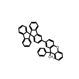 CC1(c2ccccc2)c2ccccc2Oc2ccc(-c3ccc4c(c3)-c3ccccc3C43c4ccccc4-c4ccccc43)cc21